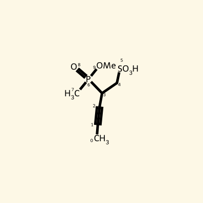 CC#CC(CS(=O)(=O)O)P(C)(=O)OC